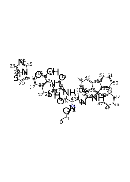 CCO/N=C(\C(=O)N[C@@H]1C(=O)N2C(C(=O)O)=C(C=Cc3csc4cncn34)CS[C@H]12)c1csc(NC(c2ccccc2)(c2ccccc2)c2ccccc2)n1